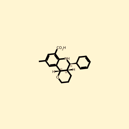 Cc1cc(C(=O)O)c2c(c1)[C@H]1OCCC[C@H]1[C@H](C1C=CC=CC1)N2